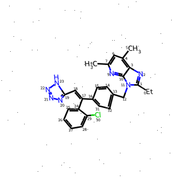 CCc1nc2c(C)cc(C)nc2n1Cc1ccc(C(=Cc2nnn[nH]2)c2ccccc2Cl)cc1